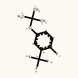 CC(C)(C)Oc1ccc(F)c(C(F)(F)F)c1